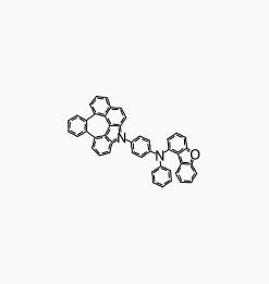 c1ccc(N(c2ccc(-n3c4cccc5c4c4c6c(cccc6ccc43)-c3ccccc3-5)cc2)c2cccc3oc4ccccc4c23)cc1